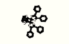 c1ccc(C2=NC(c3ccco3)(C3(c4ccco4)N=C(c4ccccc4)C(c4ccccc4)=N3)N=C2c2ccccc2)cc1